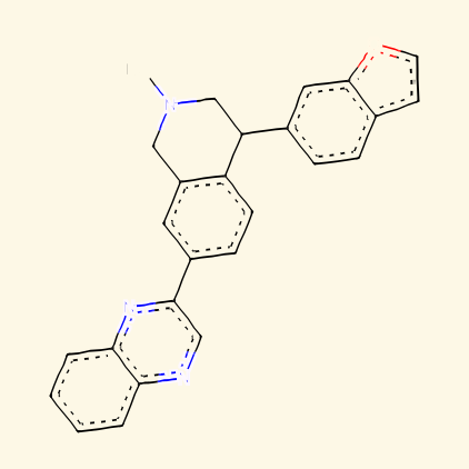 CN1Cc2cc(-c3cnc4ccccc4n3)ccc2C(c2ccc3ccoc3c2)C1